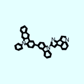 c1ccc(-n2c3ccc(-c4ccc5c(c4)c4ccccc4n5-c4cnc5c(c4)-c4cccc6nccc-5c46)cc3c3cc4ccccc4cc32)cc1